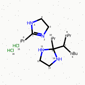 CC(C)C1=NCCN1.CCCCC(CCC)C1(C(C)C)NCCN1.Cl.Cl